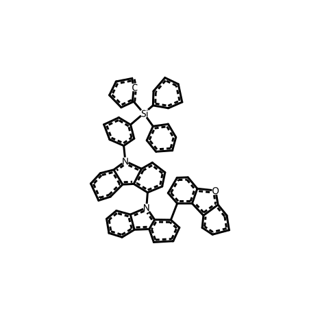 c1ccc([Si](c2ccccc2)(c2ccccc2)c2cccc(-n3c4ccccc4c4c(-n5c6ccccc6c6cccc(-c7cccc8oc9ccccc9c78)c65)cccc43)c2)cc1